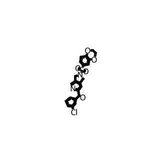 O=C(c1cccc(Cl)c1)c1cc2c(cn1)CN(S(=O)(=O)c1ccc3c(c1)OCCO3)C2